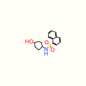 O=S(=O)(NC1CCC(O)CC1)c1cccc2ccccc12